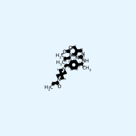 C=CC(=O)N1CC2(CN(Cc3ccc([C@H](C)Nc4ncc5c(n4)N(CC(C)C)C(=O)OC5)cc3)C2)C1